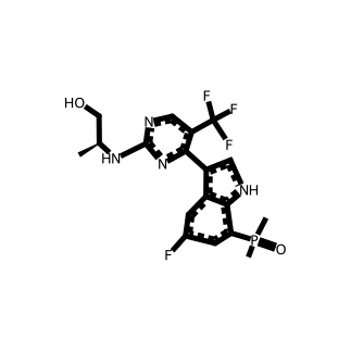 C[C@@H](CO)Nc1ncc(C(F)(F)F)c(-c2c[nH]c3c(P(C)(C)=O)cc(F)cc23)n1